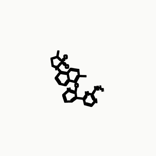 Cc1ccc2c(N3CCC(C)S3(=O)=O)cccc2c1Oc1ncccc1-c1ccnc(N)n1